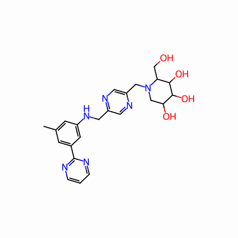 Cc1cc(NCc2cnc(CN3CC(O)C(O)C(O)C3CO)cn2)cc(-c2ncccn2)c1